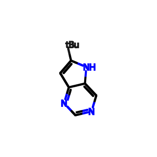 CC(C)(C)c1cc2ncncc2[nH]1